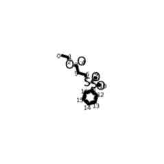 CCOC(=O)CCSS(=O)(=O)c1ccccc1